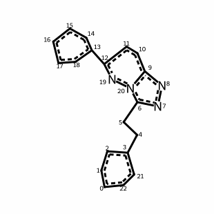 c1ccc(CCc2nnc3ccc(-c4ccccc4)nn23)cc1